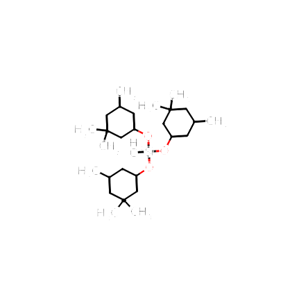 CC1CC(O[Si](C)(OC2CC(C)CC(C)(C)C2)OC2CC(C)CC(C)(C)C2)CC(C)(C)C1